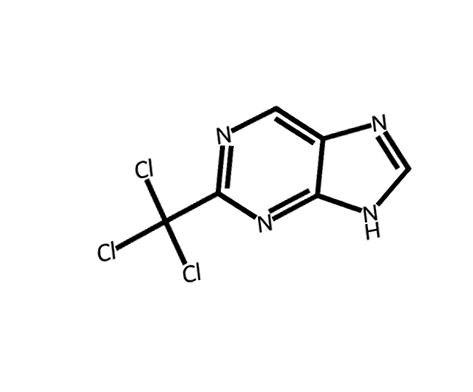 ClC(Cl)(Cl)c1ncc2nc[nH]c2n1